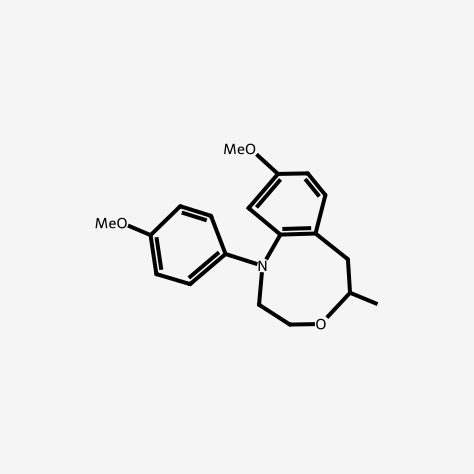 COc1ccc(N2CCOC(C)Cc3ccc(OC)cc32)cc1